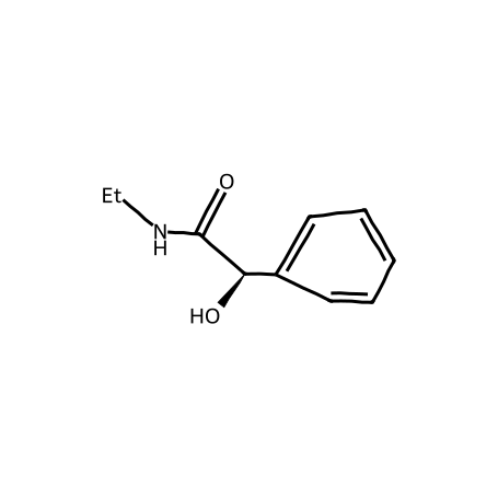 CCNC(=O)[C@H](O)c1ccccc1